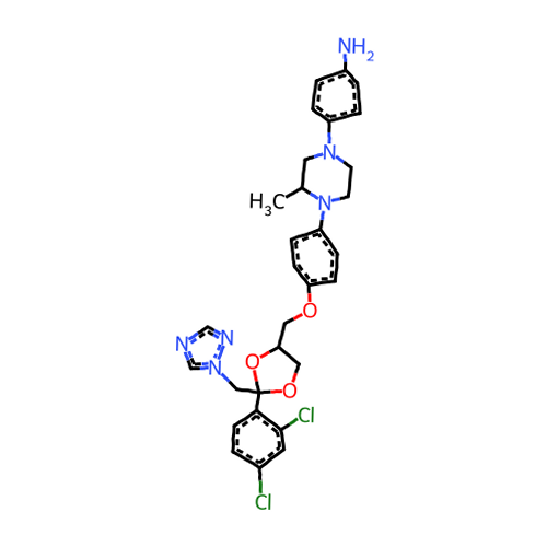 CC1CN(c2ccc(N)cc2)CCN1c1ccc(OCC2COC(Cn3cncn3)(c3ccc(Cl)cc3Cl)O2)cc1